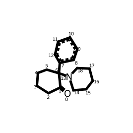 O=C1CCCCC1(c1ccccc1)N1CCCCC1